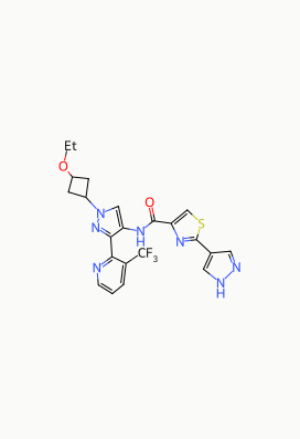 CCOC1CC(n2cc(NC(=O)c3csc(-c4cn[nH]c4)n3)c(-c3ncccc3C(F)(F)F)n2)C1